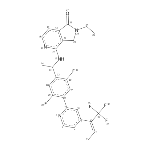 C/C=C(\c1ccnc(-c2cc(F)c(C(C)Nc3nccc4c3CN(CC)C4=O)cc2F)c1)C(F)(F)F